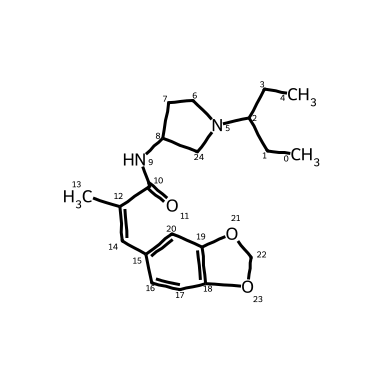 CCC(CC)N1CCC(NC(=O)C(C)=Cc2ccc3c(c2)OCO3)C1